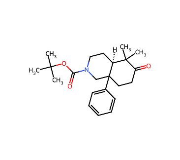 CC(C)(C)OC(=O)N1CC[C@H]2C(C)(C)C(=O)CCC2(c2ccccc2)C1